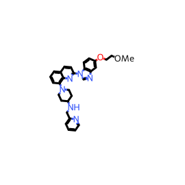 COCCOc1ccc2c(c1)ncn2-c1ccc2cccc(N3CCC(NCc4ccccn4)CC3)c2n1